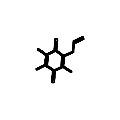 C=CCC1=C(C)C(=O)C(C)=C(C)C1=O